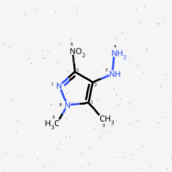 Cc1c(NN)c([N+](=O)[O-])nn1C